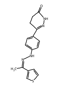 CC(=NNc1ccc(C2=NNC(=O)CC2)cc1)c1ccsc1